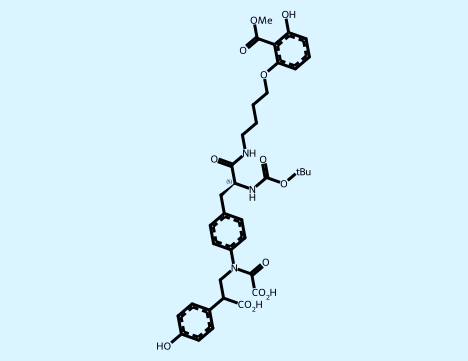 COC(=O)c1c(O)cccc1OCCCCNC(=O)[C@H](Cc1ccc(N(CC(C(=O)O)c2ccc(O)cc2)C(=O)C(=O)O)cc1)NC(=O)OC(C)(C)C